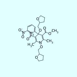 COC(=O)C1=C(C)N(OCC2CCCO2)C(C)=C([PH2]=O)C1(OCC1CCCO1)c1cccc([N+](=O)[O-])c1